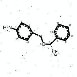 Nc1ccc(CO[C@H](c2ccccc2)C(F)(F)F)cc1